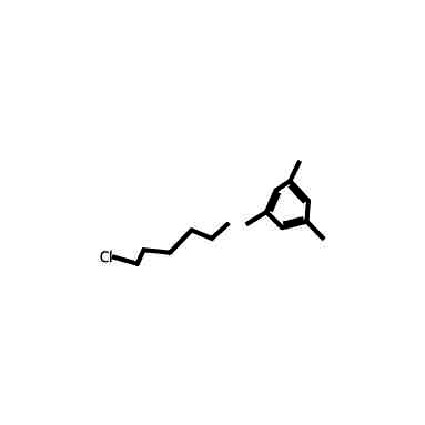 CCCCCCCl.Cc1cc(C)cc(C)c1